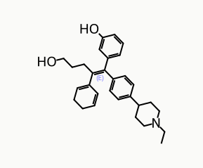 CCN1CCC(c2ccc(/C(=C(/CCCO)C3=CCCC=C3)c3cccc(O)c3)cc2)CC1